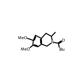 CCC(C)C(=O)N1Cc2cc(OC)c(OC)cc2CC1C